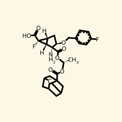 C[C@H](OC(=O)C12CC3CC(CC(C3)C1)C2)OC(=O)[C@@]1(N)[C@H]2[C@@H](C[C@H]1OCc1ccc(F)cc1)[C@]2(F)C(=O)O